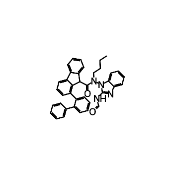 CCCCN(C(=O)C1c2ccccc2-c2cccc(-c3ccccc3-c3ccccc3)c21)n1c(NC=O)nc2ccccc21